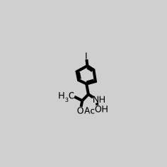 CC(=O)OC(C)C(NO)c1ccc(I)cc1